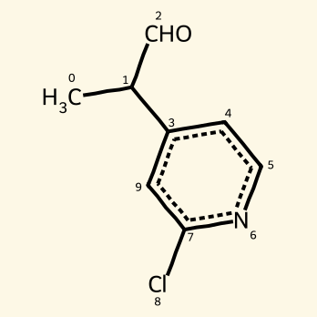 CC(C=O)c1ccnc(Cl)c1